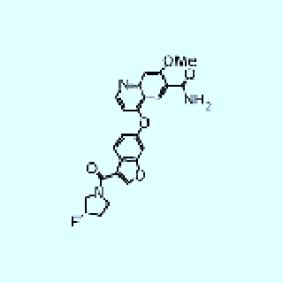 COc1cc2nccc(Oc3ccc4c(C(=O)N5CC[C@H](F)C5)coc4c3)c2cc1C(N)=O